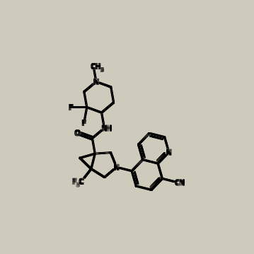 CN1CCC(NC(=O)C23CN(c4ccc(C#N)c5ncccc45)CC2(C(F)(F)F)C3)C(F)(F)C1